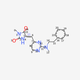 CN1C(=O)N/C(=C\c2ccnc(N(C)CCc3ccccc3)n2)C1=O